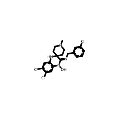 CN1CCC2(CC1)Nc1cc(Cl)c(Cl)cc1N(O)/C2=N/Cc1cccc(Cl)c1